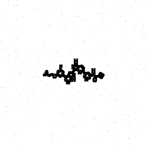 CN(C)CCOc1cc(F)cc(-c2cncc3[nH]c(-c4n[nH]c5ccc(-c6cncc(NC(=O)C7CCC7)c6)nc45)cc23)c1